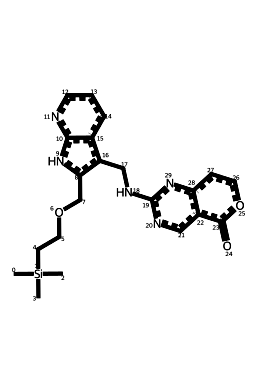 C[Si](C)(C)CCOCc1[nH]c2ncccc2c1CNc1ncc2c(=O)occc2n1